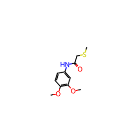 COc1ccc(NC(=O)CSC)cc1OC